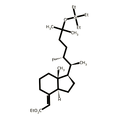 CCOC(=O)/C=C1\CCC[C@]2(C)[C@@H]([C@H](C)[C@H](F)CCC(C)(C)O[Si](CC)(CC)CC)CC[C@@H]12